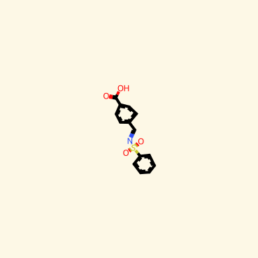 O=C(O)c1ccc(C=NS(=O)(=O)c2ccccc2)cc1